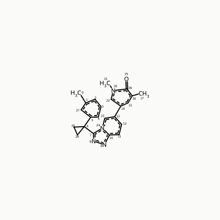 Cc1cccc(C2(c3nnc4ccc(-c5cc(C)c(=O)n(C)c5)cn34)CC2)c1